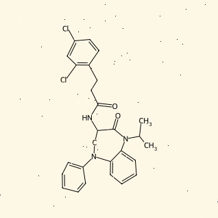 CC(C)N1C(=O)C(NC(=O)CCc2ccc(Cl)cc2Cl)CN(c2ccccc2)c2ccccc21